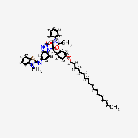 CCCCCCCCCCCCCCCCCCOc1ccc(CC(OCC)(C(=O)Nc2ccccc2)n2nnc3cc(N=c4sc5ccccc5n4C)ccc32)cc1